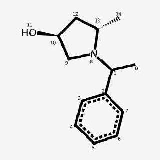 CC(c1ccccc1)N1C[C@@H](O)C[C@@H]1C